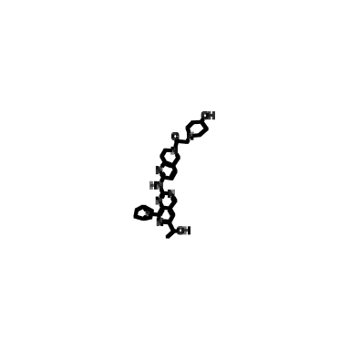 CC(O)c1cc2cnc(Nc3ccc4c(n3)CCN(C(=O)CN3CCC(O)CC3)C4)nc2c(N2C3CCC2CC3)n1